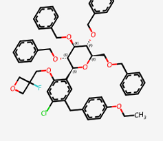 CCOc1ccc(Cc2cc([C@@H]3O[C@H](COCc4ccccc4)[C@@H](OCc4ccccc4)[C@H](OCc4ccccc4)[C@H]3OCc3ccccc3)c(OCC3(F)COC3)cc2Cl)cc1